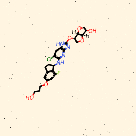 OCCCOc1cc(F)c2c(c1)CCC2Nc1nc2nc(O[C@@H]3CO[C@H]4[C@@H]3OC[C@H]4O)[nH]c2cc1Cl